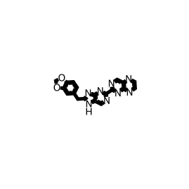 c1cnc2nc(-c3ncc4[nH]c(Cc5ccc6c(c5)OCO6)nc4n3)ncc2n1